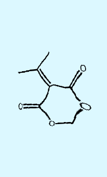 CC(C)=C1C(=O)OCOC1=O